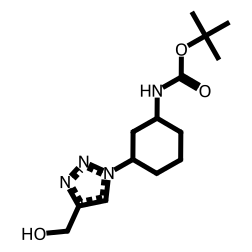 CC(C)(C)OC(=O)NC1CCCC(n2cc(CO)nn2)C1